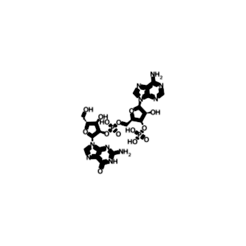 Nc1nc2c(ncn2[C@@H]2O[C@H](CO)[C@@H](O)[C@H]2OP(=O)(O)OC[C@H]2O[C@@H](n3cnc4c(N)ncnc43)[C@H](O)[C@@H]2OP(=O)(O)O)c(=O)[nH]1